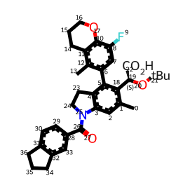 Cc1cc2c(c(-c3cc(F)c4c(c3C)CCCO4)c1[C@H](OC(C)(C)C)C(=O)O)CCN2C(=O)c1ccc2c(c1)CCC2